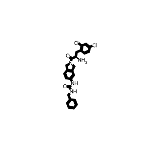 N[C@H](Cc1ccc(Cl)cc1Cl)C(=O)N1Cc2ccc(NC(=O)NCc3ccccc3)cc2C1